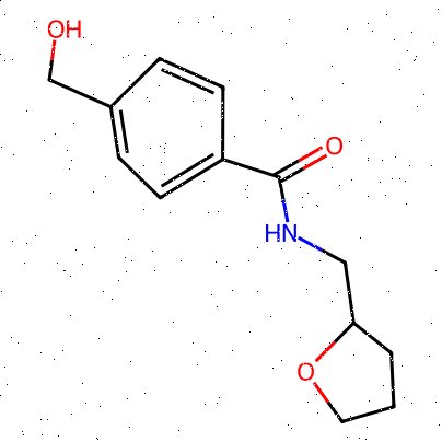 O=C(NCC1CCCO1)c1ccc(CO)cc1